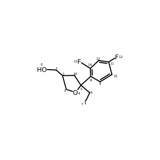 OCC1COC(CI)(c2ccc(F)cc2F)C1